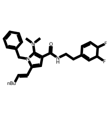 CCCC/C=C/c1cc(C(=O)NCCC2=CC(F)C(F)C=C2)c(N(C)C)n1Cc1ccccc1